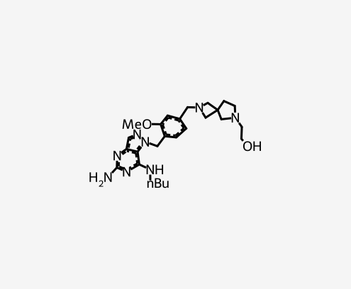 CCCCNc1nc(N)nc2cnn(Cc3ccc(CN4CC5(CCN(CCO)C5)C4)cc3OC)c12